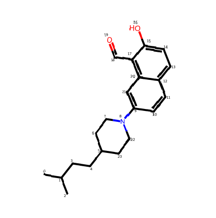 CC(C)CCC1CCN(c2ccc3ccc(O)c(C=O)c3c2)CC1